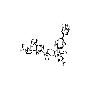 Cn1cc(-c2cnc(N(C(=O)NCC(F)F)[C@H]3CC[C@H](Nc4ncc(C(F)(F)F)c(-c5ccn(C(F)F)n5)n4)CC3)cn2)cn1